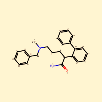 CC(C)N(CCCC(C(N)=O)c1ccccc1-c1ccccc1)Cc1ccccc1